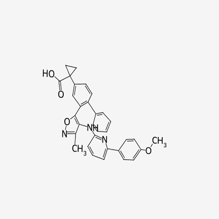 COc1ccc(-c2cccc(Nc3c(C)noc3-c3cc(C4(C(=O)O)CC4)ccc3-c3ccccc3)n2)cc1